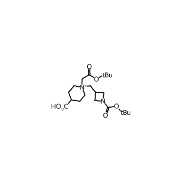 CC(C)(C)OC(=O)C[N+]1(CC2CN(C(=O)OC(C)(C)C)C2)CCC(C(=O)O)CC1